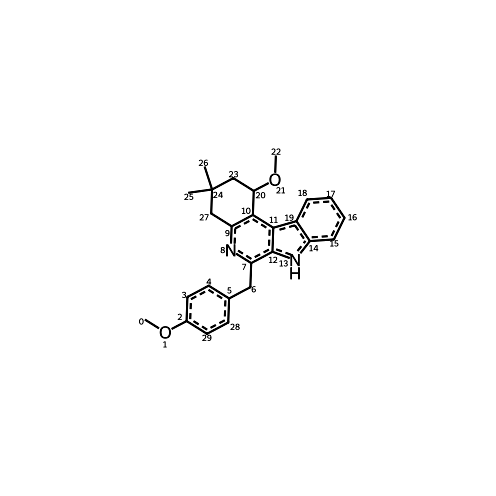 COc1ccc(Cc2nc3c(c4c2[nH]c2ccccc24)C(OC)CC(C)(C)C3)cc1